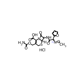 CO/N=C(/C(=O)N[C@@H]1C(=O)N2C(C(=O)O)=C(COC(N)=O)CS[C@H]12)c1ccco1.Cl